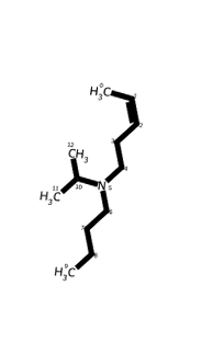 C/C=C\CCN(CCCC)C(C)C